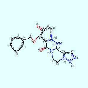 O=C1c2c(OCc3ccccc3)c(=O)ccn2NC2c3cnnn3CCN12